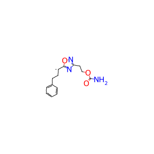 NC(=O)OCCc1noc([CH]CCc2ccccc2)n1